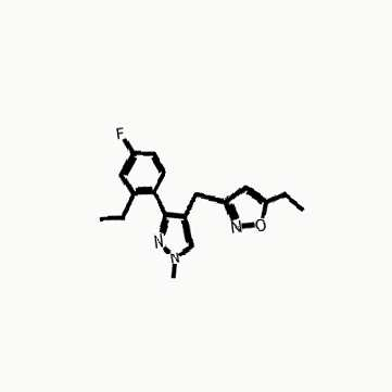 CCc1cc(Cc2cn(C)nc2-c2ccc(F)cc2CC)no1